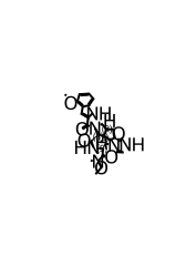 COc1cccc2[nH]c(C(=O)N3C[C@@H]4CCC[C@@H]4[C@H]3C(=O)N[C@@H](Cn3cc[nH]c3=O)C(=O)N(C)OC)cc12